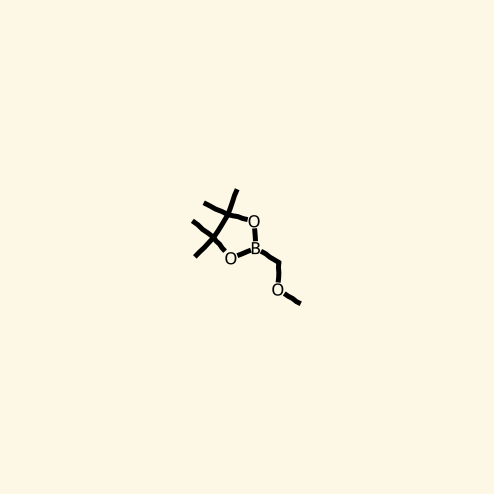 COCB1OC(C)(C)C(C)(C)O1